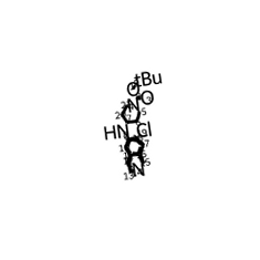 CC(C)(C)OC(=O)N1CCC(Nc2cc3ccncc3cc2Cl)CC1